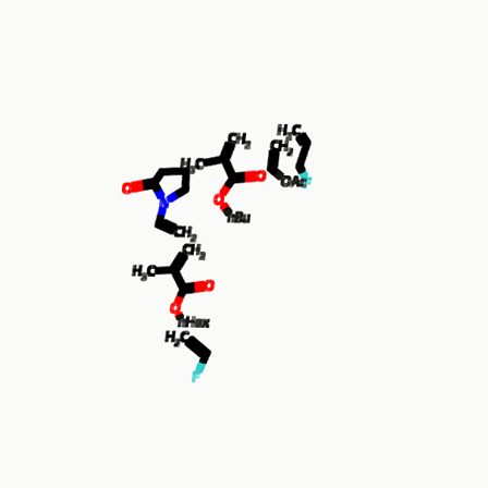 C=C(C)C(=O)OCCCC.C=C(C)C(=O)OCCCCCC.C=CCF.C=CF.C=CN1CCCC1=O.C=COC(C)=O